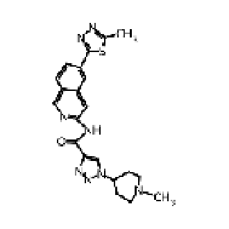 Cc1nnc(-c2ccc3cnc(NC(=O)c4cn(C5CCN(C)CC5)nn4)cc3c2)s1